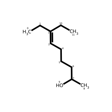 CCC(=CCCCC(C)O)CC